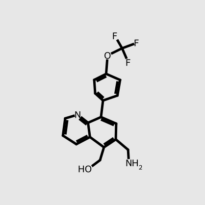 NCc1cc(-c2ccc(OC(F)(F)F)cc2)c2ncccc2c1CO